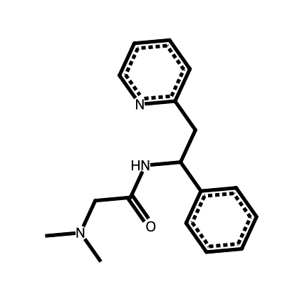 CN(C)CC(=O)NC(Cc1ccccn1)c1ccccc1